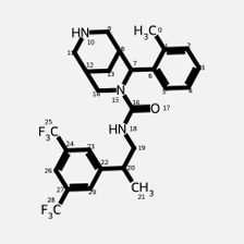 Cc1ccccc1C1C2CNCC(C2)CN1C(=O)NCC(C)c1cc(C(F)(F)F)cc(C(F)(F)F)c1